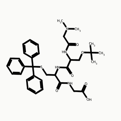 CN(C)CC(=O)NC(COC(C)(C)C)C(=O)NC(CSC(c1ccccc1)(c1ccccc1)c1ccccc1)C(=O)NCC(=O)O